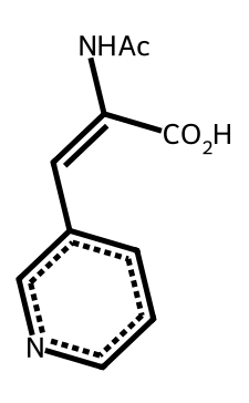 CC(=O)NC(=Cc1cccnc1)C(=O)O